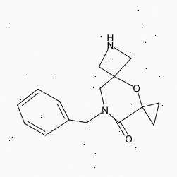 O=C1N(Cc2ccccc2)CC2(CNC2)OC12CC2